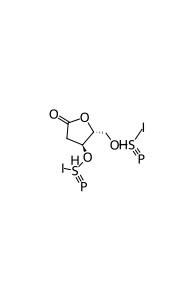 O=C1C[C@H](O[SH](#P)I)[C@@H](CO[SH](#P)I)O1